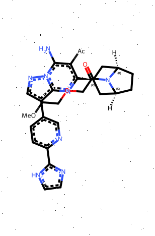 COCCOCC(=O)N1[C@@H]2CC[C@H]1C[C@@H](c1nc3c(-c4ccc(-c5ncc[nH]5)nc4)cnn3c(N)c1C(C)=O)C2